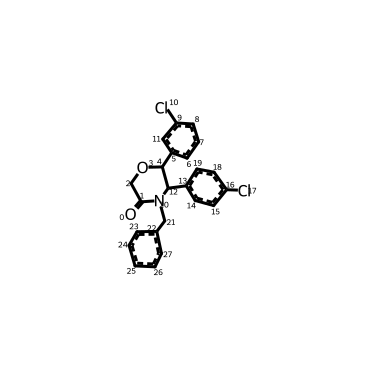 O=C1COC(c2cccc(Cl)c2)C(c2ccc(Cl)cc2)N1Cc1ccccc1